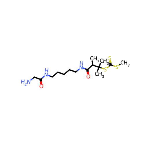 CSC(=S)SC(C)(C)C(C)C(=O)NCCCCCNC(=O)CN